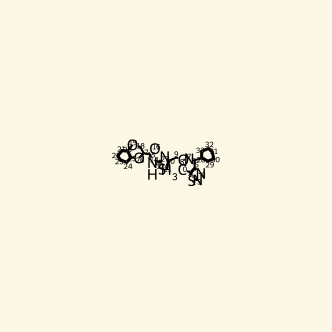 Cc1snnc1C(=NOCc1csc(NC(=O)C2COc3ccccc3O2)n1)c1ccccc1